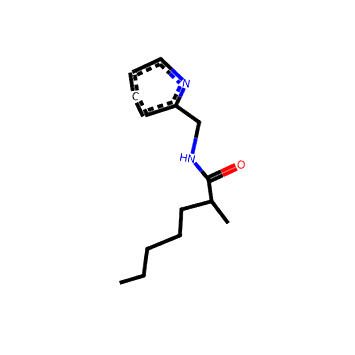 CCCCCC(C)C(=O)NCc1ccccn1